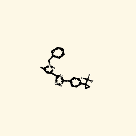 Cc1cc(-c2nc(-c3ccc(C4(C(F)(F)F)CC4)cc3)no2)nn1Cc1c[c]ccc1